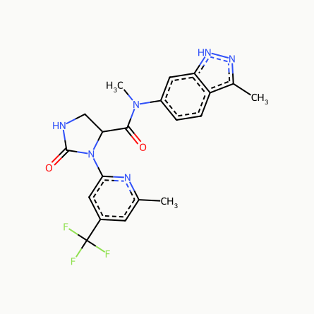 Cc1cc(C(F)(F)F)cc(N2C(=O)NCC2C(=O)N(C)c2ccc3c(C)n[nH]c3c2)n1